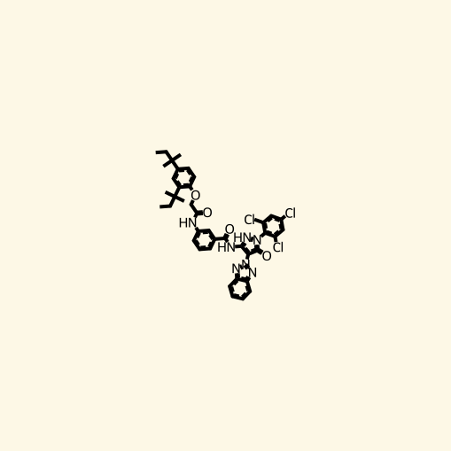 CCC(C)(C)c1ccc(OCC(=O)Nc2cccc(C(=O)Nc3[nH]n(-c4c(Cl)cc(Cl)cc4Cl)c(=O)c3-n3nc4ccccc4n3)c2)c(C(C)(C)CC)c1